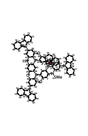 CSN1c2cc3c(cc2B2c4sc5ccccc5c4Oc4cc(-n5c6ccccc6c6ccccc65)cc1c42)B1c2cc4c(cc2Oc2cc(-n5c6ccccc6c6ccccc65)cc(c21)O3)Nc1cc(-n2c3ccccc3c3ccccc32)cc2c1B4c1sc3ccccc3c1O2